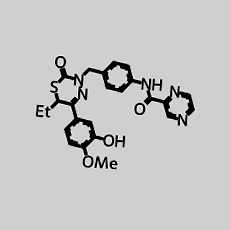 CCC1SC(=O)N(Cc2ccc(NC(=O)c3cnccn3)cc2)N=C1c1ccc(OC)c(O)c1